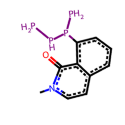 Cn1ccc2cccc(P(P)PP)c2c1=O